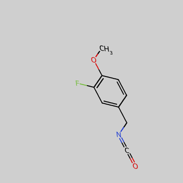 COc1ccc(CN=C=O)cc1F